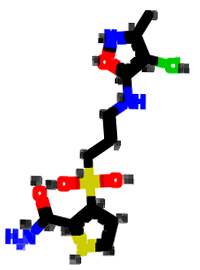 Cc1noc(NC=CCS(=O)(=O)c2ccsc2C(N)=O)c1Cl